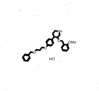 COc1ccccc1COC1CNCCC1c1ccc(OCCCOCc2ccccc2)cc1.Cl